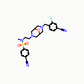 CN(CCN1CC2CN(Cc3ccc(C#N)cc3F)CC(C1)O2)S(=O)(=O)c1ccc(C#N)cc1